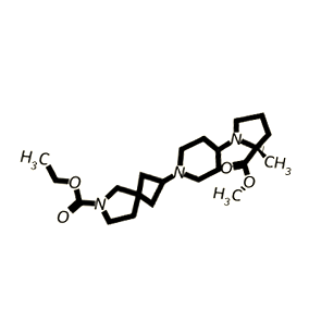 CCOC(=O)N1CCC2(CC(N3CCC(N4CCC[C@]4(C)C(=O)OC)CC3)C2)C1